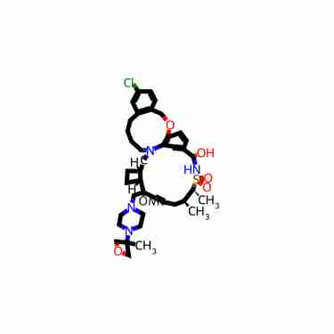 CO[C@]1(CN2CCN(C3(C)COC3)CC2)/C=C/C[C@H](C)[C@@H](C)S(=O)(=O)NC(O)c2ccc3c(c2)N(CCCCc2cc(Cl)ccc2CO3)C[C@@H]2CC[C@H]21